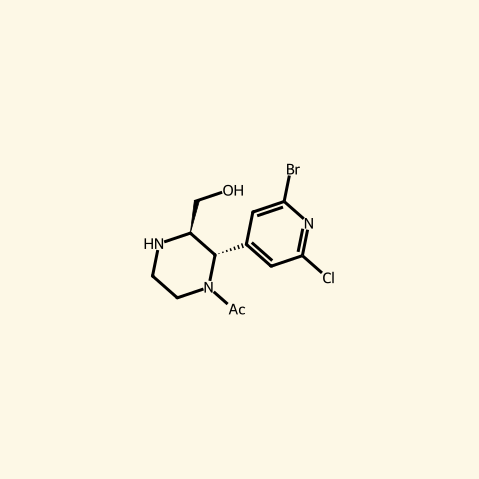 CC(=O)N1CCN[C@@H](CO)[C@@H]1c1cc(Cl)nc(Br)c1